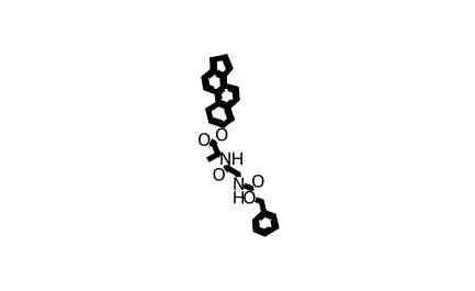 CC(NC(=O)CNC(=O)OCc1ccccc1)C(=O)OC1=CCc2c(ccc3c4c(ccc23)=CC=C4)=C1